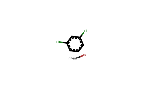 CCCCCBr.Clc1cccc(Cl)c1